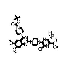 COC(=O)c1nc(Cl)c(N2CCN(c3nc(N4CCN(C(=O)OC(C)(C)C)CC4)c4cc(OC)c(OC)cc4n3)CC2)nc1N